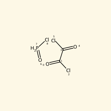 O=C(Cl)C(=O)Cl.O=[PH2]Cl